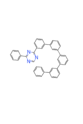 c1ccc(-c2cccc(-c3cccc(-c4cccc(-c5cccc(-c6ncnc(-c7ccccc7)n6)c5)c4)c3)c2)cc1